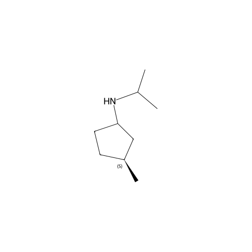 CC(C)NC1CC[C@H](C)C1